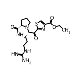 CCOC(=O)c1csc(C(=O)[C@H](CCCNC(=N)N)N2CCC[C@H]2C(N)=O)n1